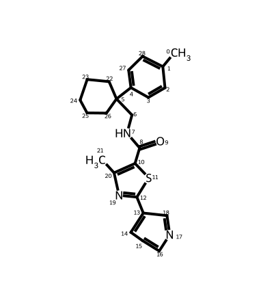 Cc1ccc(C2(CNC(=O)c3sc(-c4cccnc4)nc3C)CCCCC2)cc1